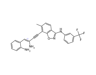 Cc1ccc2c(Nc3cccc(C(F)(F)F)c3)noc2c1C#C/C(N)=C/c1ccccc1N